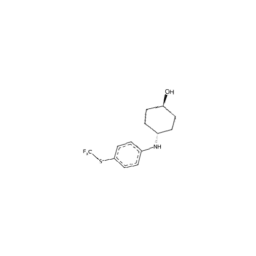 O[C@H]1CC[C@H](Nc2ccc(SC(F)(F)F)cc2)CC1